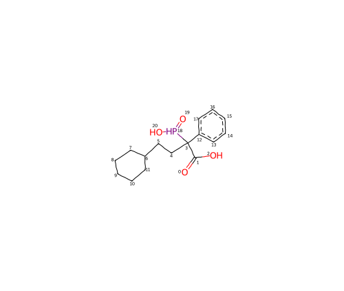 O=C(O)C(CCC1CCCCC1)(c1ccccc1)[PH](=O)O